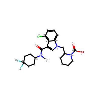 CN(C(=O)c1cn(CC2CCCCN2C(=O)O)c2cccc(Cl)c12)C1CCC(F)(F)CC1